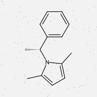 Cc1ccc(C)n1[C@H](C)c1ccccc1